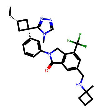 CC[C@H]1C[C@](c2cccc(N3Cc4c(cc(CNC5(C)CCC5)cc4C(F)(F)F)C3=O)c2)(c2nncn2C)C1